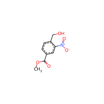 COC(=O)c1ccc(CO)c([N+](=O)[O-])c1